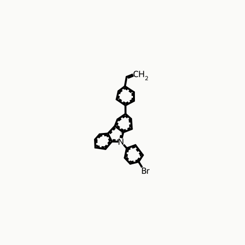 C=Cc1ccc(-c2ccc3c(c2)c2ccccc2n3-c2ccc(Br)cc2)cc1